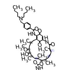 CCCCN(CCCC)Cc1ccc(C(=O)NC2=C3C[C@@H](C)C[C@H](OC)[C@H](O)[C@@H](C)/C=C(\C)[C@H](OC(N)=O)[C@@H](C)/C=C\C=C(/C)C(=O)NC(=CC2=O)C3=O)cc1